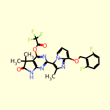 Cc1nc2c(OCc3c(F)cccc3F)cccn2c1-c1nc2c(c(OC(=O)C(F)(F)F)n1)C(C)(C)C(=O)N2